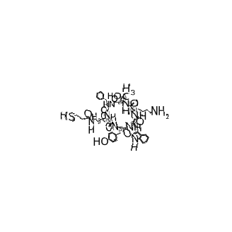 C[C@@H](O)[C@@H]1NC(=O)[C@H](CCCCN)NC(=O)[C@@H](Cc2c[nH]c3ccccc23)NC(=O)[C@H](Cc2ccc(O)cc2)NC(=O)[C@H](CCCCNC(=O)CCS)N(C)C(=O)C(CCc2ccccc2)NC1=O